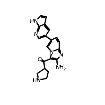 Nc1nc2ccc(-c3cnc4[nH]ccc4c3)cn2c1C(=O)C1CCNC1